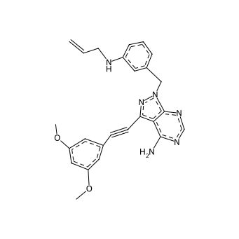 C=CCNc1cccc(Cn2nc(C#Cc3cc(OC)cc(OC)c3)c3c(N)ncnc32)c1